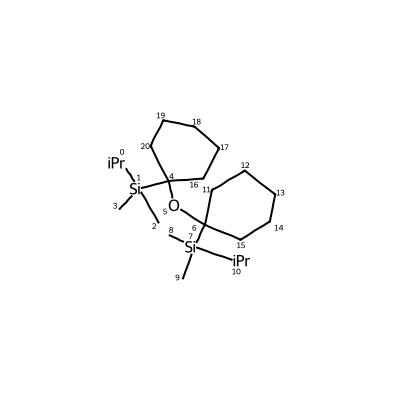 CC(C)[Si](C)(C)C1(OC2([Si](C)(C)C(C)C)CCCCC2)CCCCC1